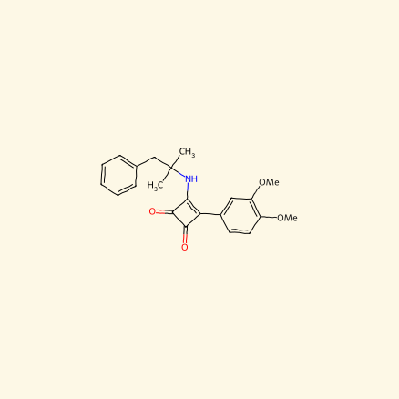 COc1ccc(-c2c(NC(C)(C)Cc3ccccc3)c(=O)c2=O)cc1OC